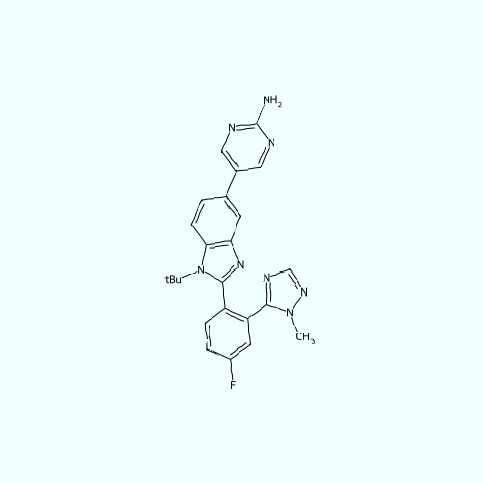 Cn1ncnc1-c1cc(F)ccc1-c1nc2cc(-c3cnc(N)nc3)ccc2n1C(C)(C)C